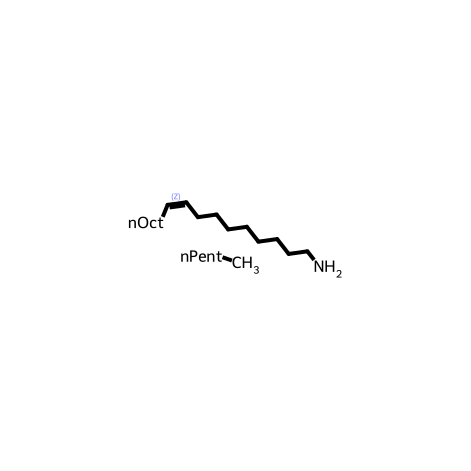 CCCCCC.CCCCCCCC/C=C\CCCCCCCCN